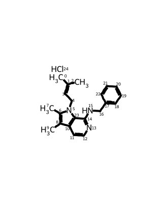 CC(C)=CCn1c(C)c(C)c2ccnc(NCc3ccccc3)c21.Cl